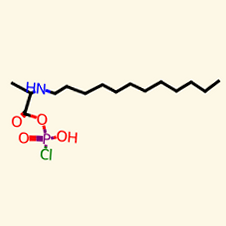 CCCCCCCCCCCCNC(C)C(=O)OP(=O)(O)Cl